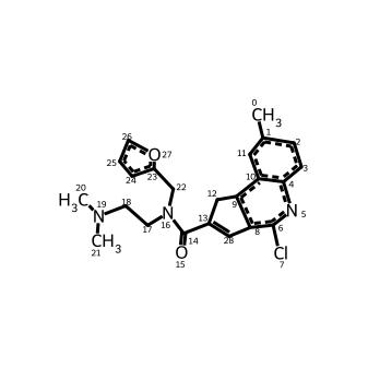 Cc1ccc2nc(Cl)c3c(c2c1)CC(C(=O)N(CCN(C)C)Cc1ccco1)=C3